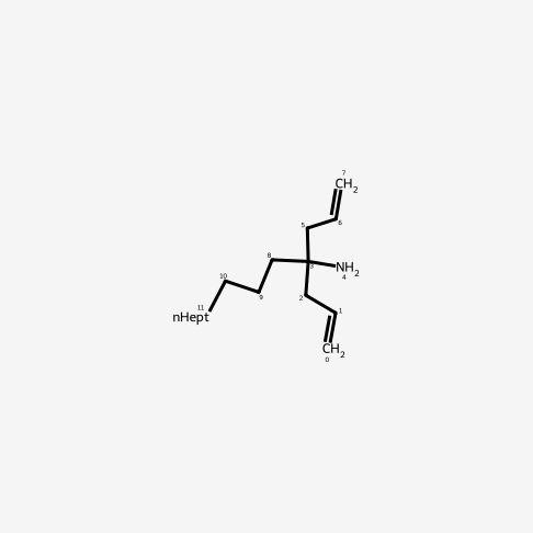 C=CCC(N)(CC=C)CCCCCCCCCC